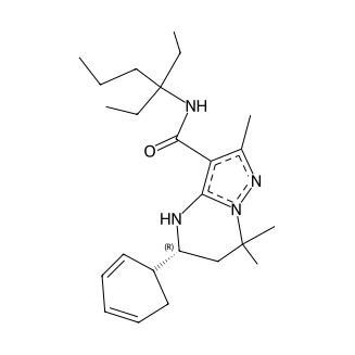 CCCC(CC)(CC)NC(=O)c1c(C)nn2c1N[C@@H](C1C=CC=CC1)CC2(C)C